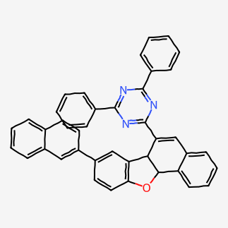 C1=C(c2nc(-c3ccccc3)nc(-c3ccccc3)n2)C2c3cc(-c4ccc5ccccc5c4)ccc3OC2c2ccccc21